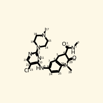 CNC(=O)C1Cc2cc(Nc3nc(N4CCN(I)CC4)ncc3Cl)ccc2N(C)C1=O